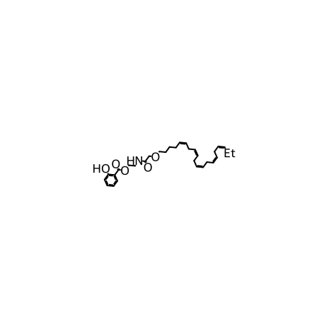 CC/C=C\C/C=C\C/C=C\C/C=C\C/C=C\CCCCOCC(=O)NCCOC(=O)c1ccccc1O